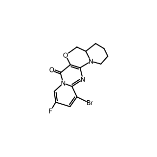 O=c1c2c(nc3c(Br)cc(F)cn13)N1CCCCC1CO2